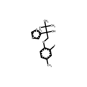 Cc1ccc(OCC(O)(c2cncs2)C(C)(C)C)c(F)c1